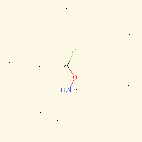 NOCF